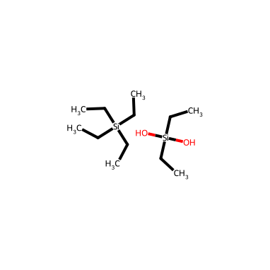 CC[Si](CC)(CC)CC.CC[Si](O)(O)CC